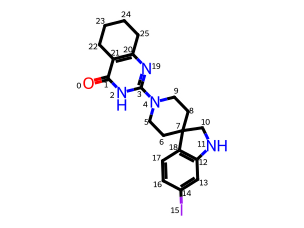 O=c1[nH]c(N2CCC3(CC2)CNc2cc(I)ccc23)nc2c1CCCC2